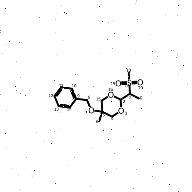 CC(C1OCC(C)(OCc2ccccc2)CO1)S(C)(=O)=O